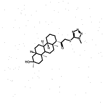 Cn1nnnc1SCC(=O)[C@H]1CCC[C@H]2[C@@H]3CC[C@H]4C[C@](C)(O)CC[C@]4(C)C3CC[C@]12C